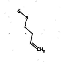 C=CCCS[S]